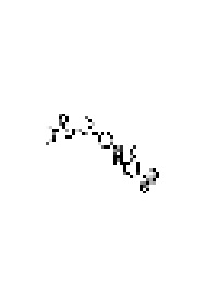 CCC(C)C(=O)OCCN(CC)c1ccc(N=Nc2ccc([N+](=O)[O-])cc2Cl)cc1